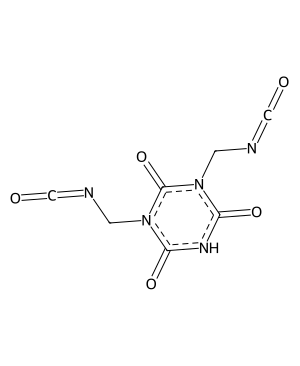 O=C=NCn1c(=O)[nH]c(=O)n(CN=C=O)c1=O